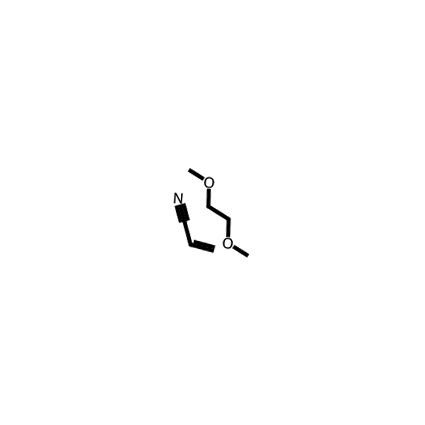 C=CC#N.COCCOC